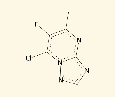 Cc1nc2ncnn2c(Cl)c1F